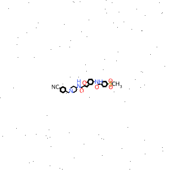 CS(=O)(=O)c1ccc(C(=O)Nc2ccc3oc(C(=O)NC4CCN(Cc5ccc(C#N)cc5)CC4)cc3c2)cc1